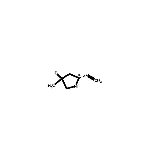 C=C[C@H]1CC(C)(F)CN1